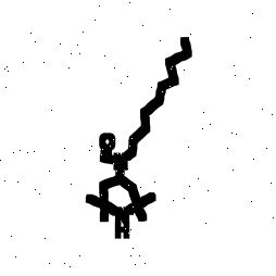 CCCCCCCCCCN(C=O)C1CC(C)(C)NC(C)(C)C1